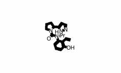 C=Cc1c(O)cccc1NC(=O)N1CCCC1c1ccnn1C(C)C